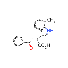 O=C(CC(C(=O)O)c1c[nH]c2c(C(F)(F)F)cccc12)c1ccccc1